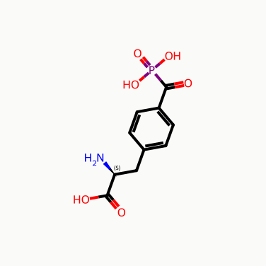 N[C@@H](Cc1ccc(C(=O)P(=O)(O)O)cc1)C(=O)O